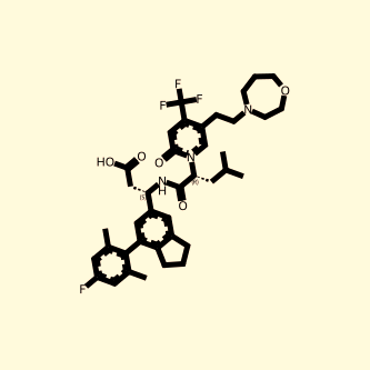 Cc1cc(F)cc(C)c1-c1cc([C@H](CC(=O)O)NC(=O)[C@@H](CC(C)C)n2cc(CCN3CCCOCC3)c(C(F)(F)F)cc2=O)cc2c1CCC2